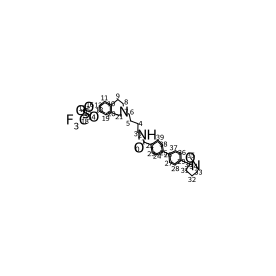 O=C(NCCCCN1CCc2ccc(OS(=O)(=O)C(F)(F)F)cc2C1)c1ccc(-c2ccc(C34CCCN3O4)cc2)cc1